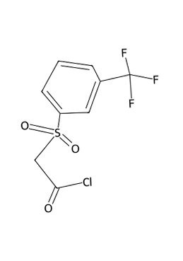 O=C(Cl)CS(=O)(=O)c1cccc(C(F)(F)F)c1